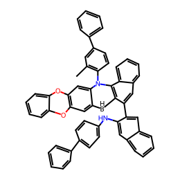 Cc1cc(-c2ccccc2)ccc1N1c2cc3c(cc2Bc2c(-c4cc5ccccc5cc4Nc4ccc(-c5ccccc5)cc4)cc4ccccc4c21)Oc1ccccc1O3